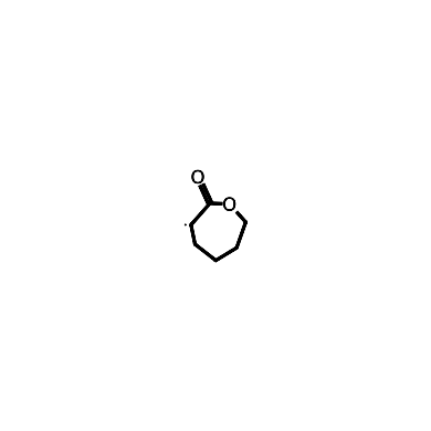 O=C1[CH]CCCCO1